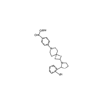 COC(=O)c1ccc(N2CCC3(CC2)CC(N2CCCC2c2ccccc2C(C)C)C3)cc1